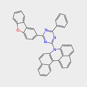 c1ccc(-c2nc(-c3ccc4oc5ccccc5c4c3)nc(N3c4ccc5ccccc5c4-c4cccc5cccc3c45)n2)cc1